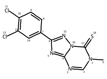 Cn1cnc2nc(-c3ccc(Cl)c(Cl)c3)nn2c1=S